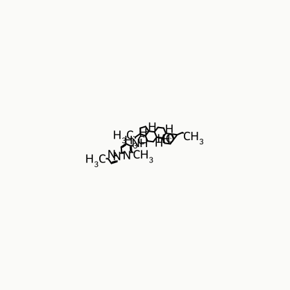 CCC1C2[C@H]3CC[C@@H]4[C@H](CC[C@]5(C)[C@@H]([C@@H](C)Nc6ccc(-n7ccc(C)n7)nc6C)CC[C@@H]45)[C@H]3CC[C@]12O